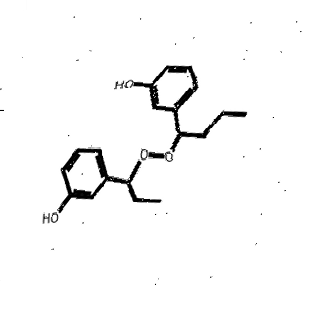 CCCC(OOC(CC)c1cccc(O)c1)c1cccc(O)c1